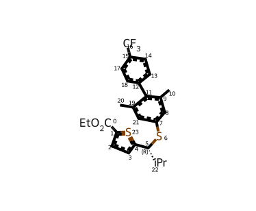 CCOC(=O)c1ccc([C@H](Sc2cc(C)c(-c3ccc(C(F)(F)F)cc3)c(C)c2)C(C)C)s1